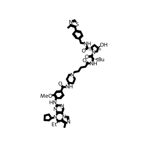 CC[C@@H]1c2c(C)ncn2-c2cnc(Nc3ccc(C(=O)NC4CCN(CCCCC(=O)N[C@H](C(=O)N5C[C@H](O)C[C@H]5C(=O)NCc5ccc(-c6scnc6C)cc5)C(C)(C)C)CC4)cc3OC)nc2N1C1CCCC1